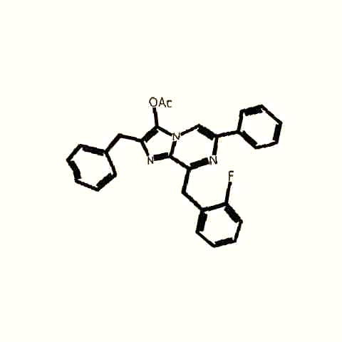 CC(=O)Oc1c(Cc2ccccc2)nc2c(Cc3ccccc3F)nc(-c3ccccc3)cn12